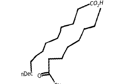 CCCCCCCC(=O)O.CCCCCCCCCCCCCCCCCC(=O)O